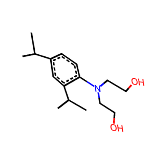 CC(C)c1ccc(N(CCO)CCO)c(C(C)C)c1